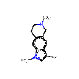 CC(C)c1cn(C(=O)O)c2cc3c(cc12)CN(C(=O)O)CC3